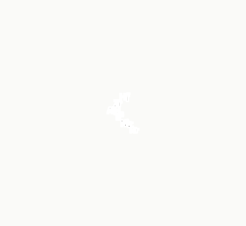 [AlH3].[Hf].[Nb].[Ta].[Ti].[Zr]